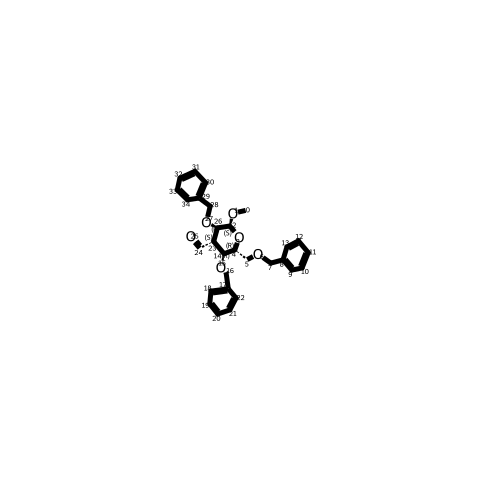 CO[C@H]1O[C@H](COCc2ccccc2)[C@H](OCc2ccccc2)[C@H](C=O)[C@H]1OCc1ccccc1